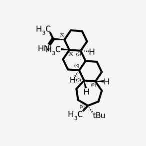 CC(=N)[C@H]1CCC[C@H]2C3CC[C@@H]4CC[C@](C)(C(C)(C)C)CC[C@@H]4[C@H]3CC[C@]12C